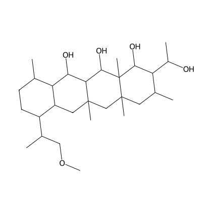 COCC(C)C1CCC(C)C2C(O)C3C(O)C4(C)C(O)C(C(C)O)C(C)CC4(C)CC3(C)CC12